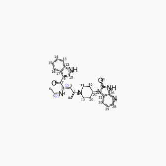 C=C(/C=C(\N=C/C)C(=O)c1c[nH]c2ccccc12)N1CCC(n2c(=O)[nH]c3ncccc32)CC1